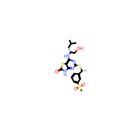 CC(C)C[C@H](CO)Nc1nc(S[C@H](C)c2cccc(S(C)(=O)=O)c2)nc2[nH]c(=O)sc12